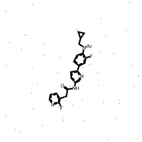 CC(=O)N(CC1CC1)c1ccc(-c2ccc(NC(=O)Cc3cccnc3F)cn2)cc1F